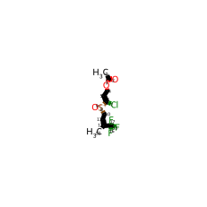 CC(=O)OCC=C(Cl)[S+]([O-])CC=C(C)C(F)(F)F